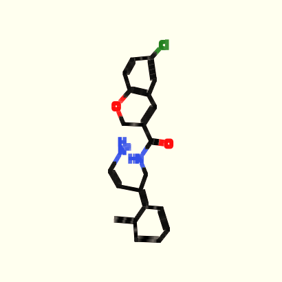 C=c1cccc/c1=C(/C=C\N)CNC(=O)C1=Cc2cc(Cl)ccc2OC1